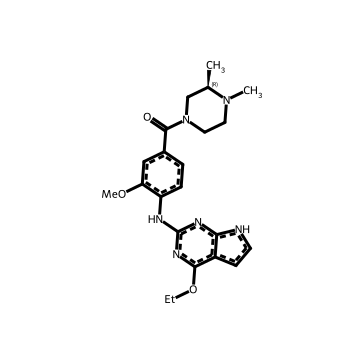 CCOc1nc(Nc2ccc(C(=O)N3CCN(C)[C@H](C)C3)cc2OC)nc2[nH]ccc12